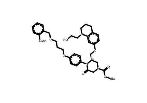 COc1ccccc1COCCCOc1ccc(N2C(=O)CN(C(=O)OC(C)(C)C)C[C@@H]2COc2ccc3c(c2)N(CCO)CCC3)cc1